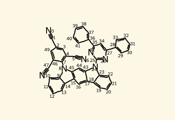 N#Cc1cc(C#N)c(-n2c3ccccc3c3cc4c5ccccc5n(-c5nc(-c6ccccc6)cc(-c6ccccc6)n5)c4cc32)c(C#N)c1